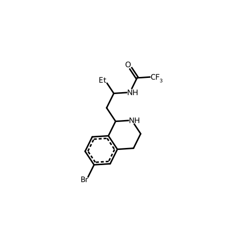 CCC(CC1NCCc2cc(Br)ccc21)NC(=O)C(F)(F)F